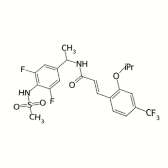 CC(C)Oc1cc(C(F)(F)F)ccc1/C=C/C(=O)NC(C)c1cc(F)c(NS(C)(=O)=O)c(F)c1